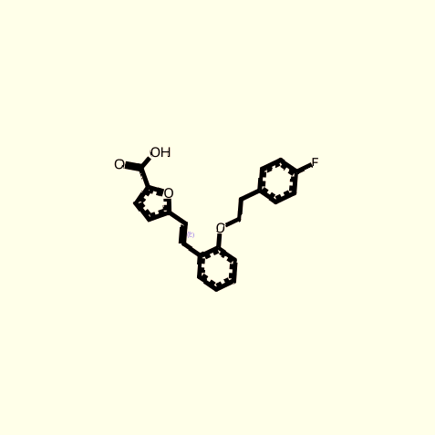 O=C(O)c1ccc(/C=C/c2ccccc2OCCc2ccc(F)cc2)o1